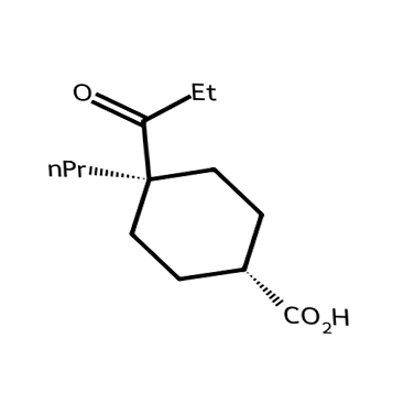 CCC[C@]1(C(=O)CC)CC[C@H](C(=O)O)CC1